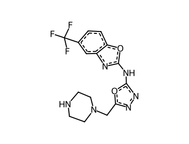 FC(F)(F)c1ccc2oc(Nc3nnc(CN4CCNCC4)o3)nc2c1